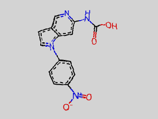 O=C(O)Nc1cc2c(ccn2-c2ccc([N+](=O)[O-])cc2)cn1